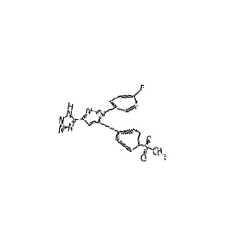 CS(=O)(=O)c1ccc(-c2cc(-c3nnn[nH]3)nn2-c2ccc(F)cc2)cc1